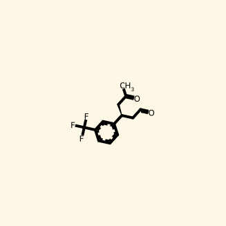 CC(=O)C[C@@H](CC=O)c1cccc(C(F)(F)F)c1